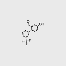 O=Cc1cc(O)ccc1-c1cccc(C(F)(F)F)c1